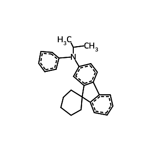 CC(C)N(c1ccccc1)c1ccc2c(c1)C1(CCCCC1)c1ccccc1-2